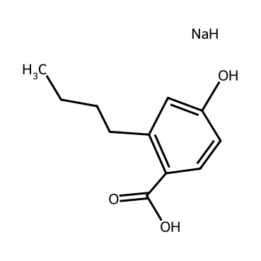 CCCCc1cc(O)ccc1C(=O)O.[NaH]